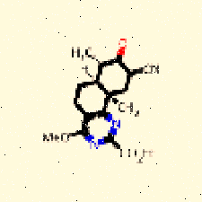 CCOC(=O)c1nc(OC)c2c(n1)[C@@]1(C)CC(C#N)C(=O)[C@@H](C)[C@@H]1CC2